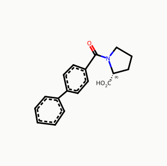 O=C(O)[C@H]1CCCN1C(=O)c1ccc(-c2ccccc2)cc1